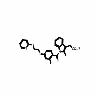 Cc1cc(OCCOc2ccccn2)ccc1C(=O)n1c(C)c(CC(=O)O)c2ccccc21